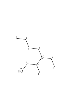 CCCCN(CC)C(C)CO